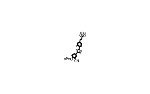 CCCOc1ccc(-c2nc(-c3ccc(CCC(=O)OC(C)(C)C)cc3C)no2)cc1C#N